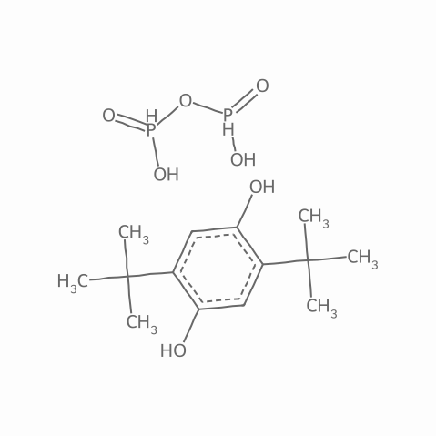 CC(C)(C)c1cc(O)c(C(C)(C)C)cc1O.O=[PH](O)O[PH](=O)O